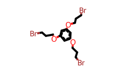 BrCCCOc1cc(OCCCBr)cc(OCCCBr)c1